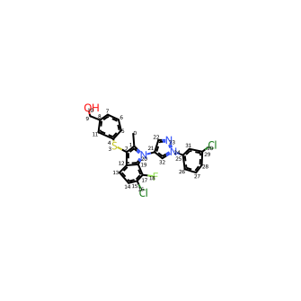 Cc1c(Sc2cccc(CO)c2)c2ccc(Cl)c(F)c2n1-c1cnn(-c2cccc(Cl)c2)c1